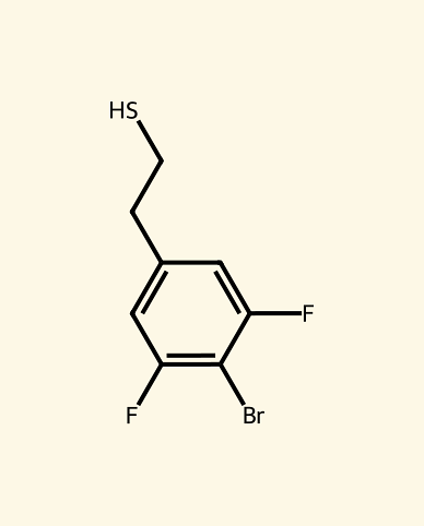 Fc1cc(CCS)cc(F)c1Br